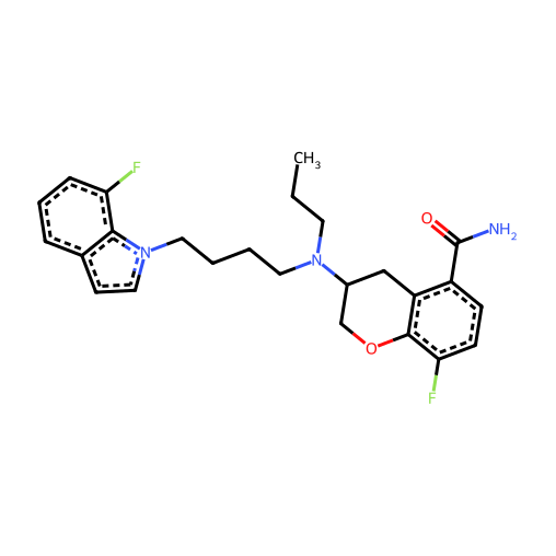 CCCN(CCCCn1ccc2cccc(F)c21)C1COc2c(F)ccc(C(N)=O)c2C1